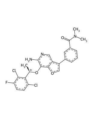 C[C@@H](Oc1c(N)ncc2c(-c3cccc(C(=O)N(C)C)c3)coc12)c1c(Cl)ccc(F)c1Cl